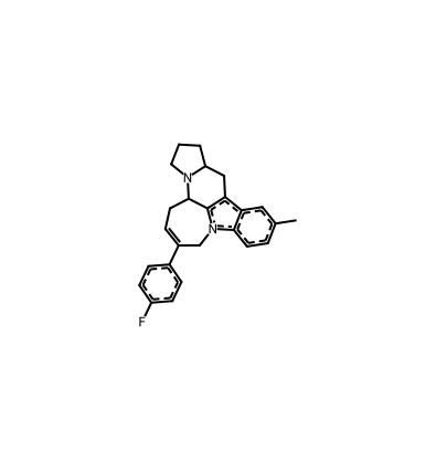 Cc1ccc2c(c1)c1c3n2CC(c2ccc(F)cc2)=CCC3N2CCCC2C1